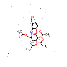 CC(=O)OCC1O[C@@H](Oc2ccc(CO)cc2N)[C@@H](OC(C)=O)C(OC(C)=O)[C@H]1OC(C)=O